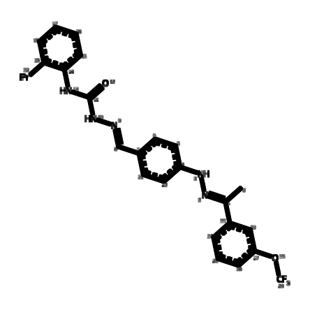 C/C(=N\Nc1ccc(/C=N/NC(=O)Nc2ccccc2C(C)C)cc1)c1cccc(OC(F)(F)F)c1